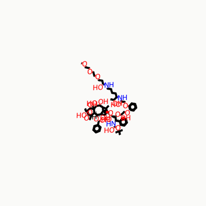 COCCOCCOCCC(O)NCCCCC(NC(O)COc1ccccc1OCC(O)O[C@@H](C(O)O[C@H]1CC2(O)[C@@H](OC(O)c3ccccc3)[C@H]3C(C)(C(O)CC4OC[C@]43OC(C)O)C(O)C(O)C(C1C)C2(C)C)[C@@H](NC(O)OC(C)(C)C)c1ccccc1)C(C)O